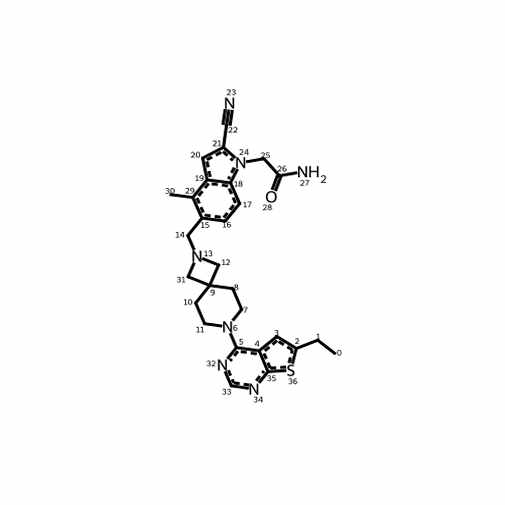 CCc1cc2c(N3CCC4(CC3)CN(Cc3ccc5c(cc(C#N)n5CC(N)=O)c3C)C4)ncnc2s1